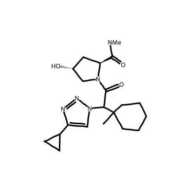 CNC(=O)[C@@H]1C[C@@H](O)CN1C(=O)C(n1cc(C2CC2)nn1)C1(C)CCCCC1